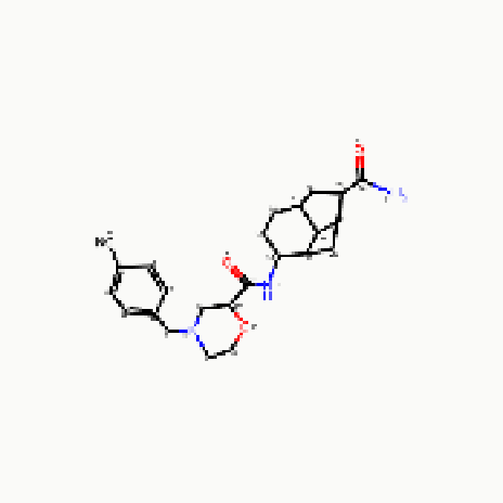 N#Cc1ccc(CN2CCOC(C(=O)NC3CCC4CC5(C(N)=O)CC4C3C5)C2)cc1